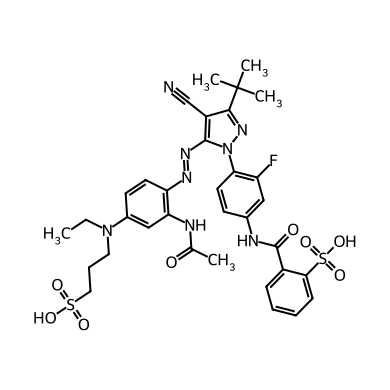 CCN(CCCS(=O)(=O)O)c1ccc(/N=N/c2c(C#N)c(C(C)(C)C)nn2-c2ccc(NC(=O)c3ccccc3S(=O)(=O)O)cc2F)c(NC(C)=O)c1